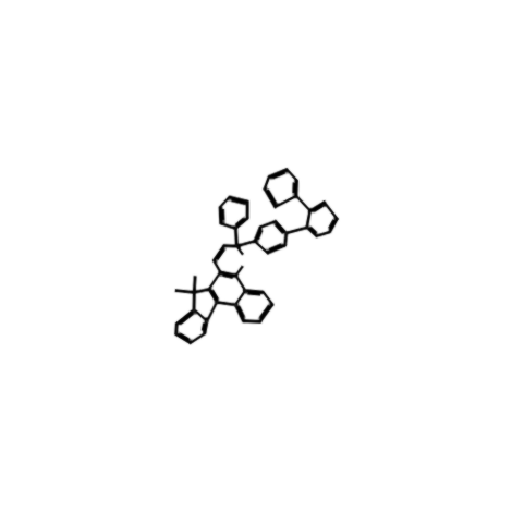 CC1(C)c2ccccc2-c2c1c1c(c3ccccc23)OC(c2ccccc2)(c2ccc(-c3ccccc3-c3ccccc3)cc2)C=C1